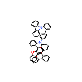 c1cc(-c2cc3ccccc3c3ccccc23)cc(N(c2ccc(-c3ccccc3-n3c4ccccc4c4ccccc43)cc2)c2ccccc2-c2cccc3c2oc2ccccc23)c1